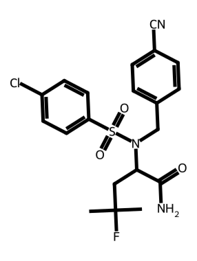 CC(C)(F)CC(C(N)=O)N(Cc1ccc(C#N)cc1)S(=O)(=O)c1ccc(Cl)cc1